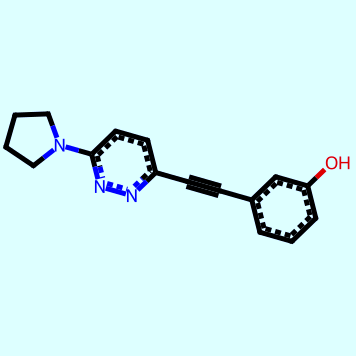 Oc1cccc(C#Cc2ccc(N3CCCC3)nn2)c1